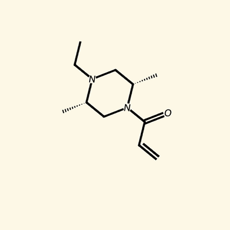 C=CC(=O)N1C[C@H](C)N(CC)C[C@@H]1C